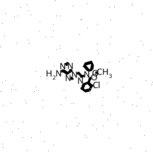 COc1ccccc1-n1c(Cn2cnc3c(N)ncnc32)nc2cccc(Cl)c2c1=O